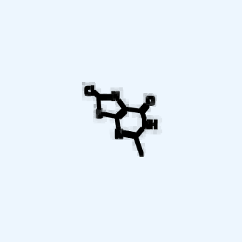 Cc1nc2sc(Cl)nc2c(=O)[nH]1